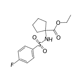 CCOC(=O)C1(NS(=O)(=O)c2ccc(F)cc2)CCCC1